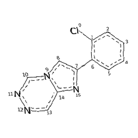 Clc1ccccc1-c1cn2cnncc2n1